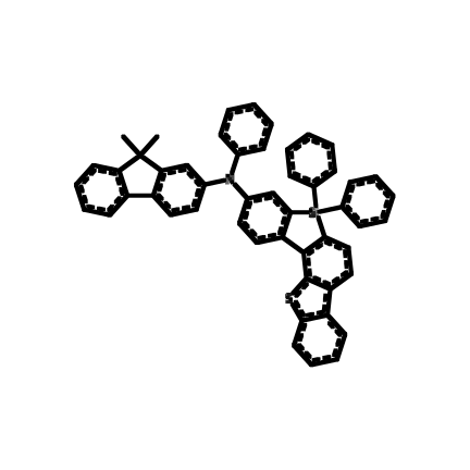 CC1(C)c2ccccc2-c2ccc(N(c3ccccc3)c3ccc4c(c3)[Si](c3ccccc3)(c3ccccc3)c3ccc5c(sc6ccccc65)c3-4)cc21